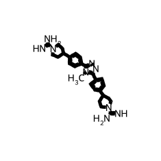 Cn1c(-c2ccc(C3CCN(C(=N)N)CC3)cc2)nnc1-c1ccc(C2CCN(C(=N)N)CC2)cc1